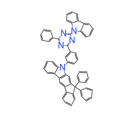 c1ccc(-c2nc(-c3cccc(-n4c5ccccc5c5cc6c(cc54)C(c4ccccc4)(c4ccccc4)c4ccccc4-6)c3)nc(-n3c4ccccc4c4ccccc43)n2)cc1